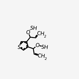 C=CC(OS)c1cscc1C(C=C)OS